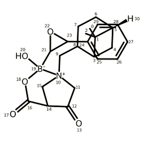 CC1(C)C2C[C@H]1CCC2C[N+]12CC(=O)C(C1)C(=O)O[B-]2(O)C1OC1c1ccccc1